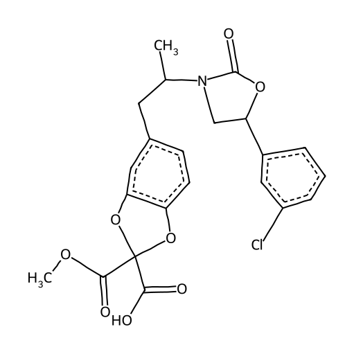 COC(=O)C1(C(=O)O)Oc2ccc(CC(C)N3CC(c4cccc(Cl)c4)OC3=O)cc2O1